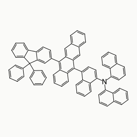 c1ccc(C2(c3ccccc3)c3ccccc3-c3ccc(-c4c5ccccc5c(-c5ccc(N(c6cccc7ccccc67)c6cccc7ccccc67)c6ccccc56)c5cc6ccccc6cc45)cc32)cc1